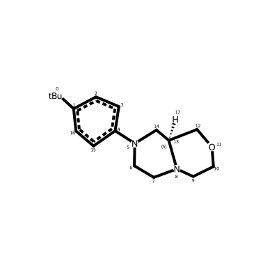 CC(C)(C)c1ccc(N2CCN3CCOC[C@@H]3C2)cc1